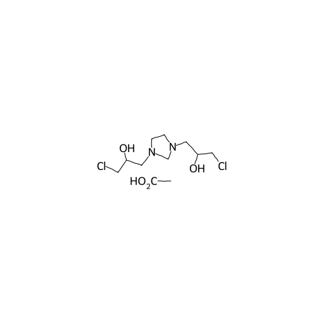 CC(=O)O.OC(CCl)CN1CCN(CC(O)CCl)C1